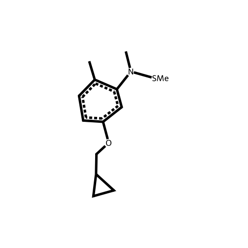 CSN(C)c1cc(OCC2CC2)ccc1C